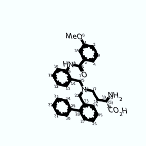 COc1cccc(C(=O)Nc2ccccc2CN(CC[C@H](N)C(=O)O)Cc2ccccc2-c2ccccc2)c1